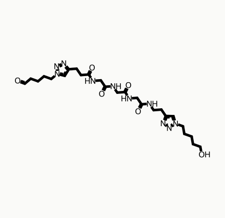 O=CCCCCn1cc(CCC(=O)NCC(=O)NCC(=O)NCC(=O)NCCc2cn(CCCCCO)nn2)nn1